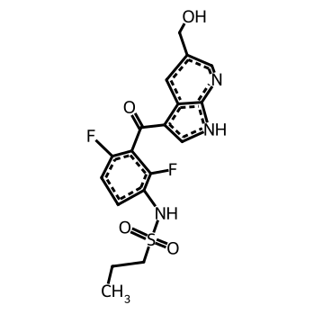 CCCS(=O)(=O)Nc1ccc(F)c(C(=O)c2c[nH]c3ncc(CO)cc23)c1F